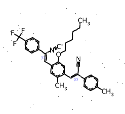 [C-]#[N+]/C(=C\c1cc(C)c(/C=C(\C#N)c2ccc(C)cc2)cc1OCCCCCC)c1ccc(C(F)(F)F)cc1